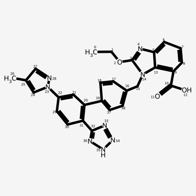 CCOc1nc2cccc(C(=O)O)c2n1Cc1ccc(-c2cc(-n3cc(C)cn3)ccc2-c2nn[nH]n2)cc1